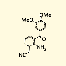 COc1ccc(C(=O)c2cccc(CC#N)c2N)cc1OC